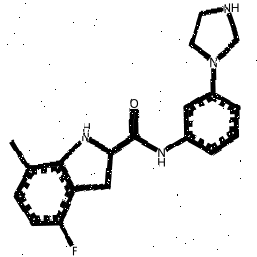 Cc1ccc(F)c2c1NC(C(=O)Nc1cccc(N3CCNC3)c1)C2